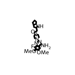 COc1cc2c(N)nc(N3CCN(C(=O)CC4CC5CCCC5N4)CC3)nc2c(F)c1OC